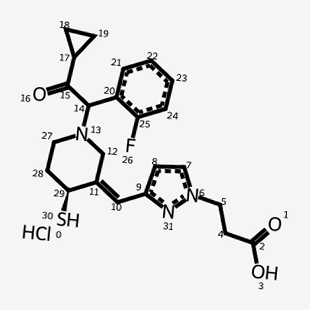 Cl.O=C(O)CCn1ccc(/C=C2\CN(C(C(=O)C3CC3)c3ccccc3F)CC[C@@H]2S)n1